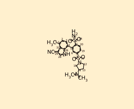 Cc1ccc(-c2cc(S(=O)(=O)N3CCC(N(C)C)C3)ccc2S(N)(=O)=O)c2[nH]cc(C#N)c12